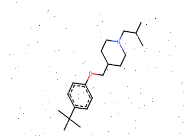 CC(C)CN1CCC(COc2ccc(C(C)(C)C)cc2)CC1